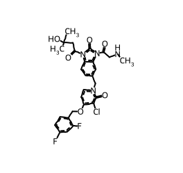 CNCC(=O)n1c(=O)n(C(=O)CC(C)(C)O)c2ccc(Cn3ccc(OCc4ccc(F)cc4F)c(Cl)c3=O)cc21